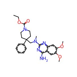 CCOC(=O)N1CCC(CN(C)c2nc(N)c3cc(OC)c(OC)cc3n2)(c2ccccc2)CC1